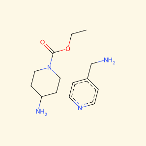 CCOC(=O)N1CCC(N)CC1.NCc1ccncc1